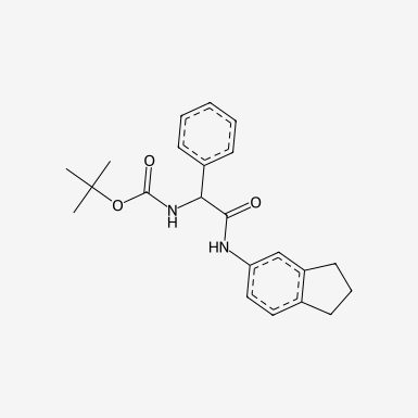 CC(C)(C)OC(=O)NC(C(=O)Nc1ccc2c(c1)CCC2)c1ccccc1